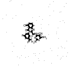 C[C@H](Nc1nc(N)nc(N)c1C#N)c1nc2cccc(Cl)c2c(=O)n1-c1cc(F)cc(C(F)F)c1